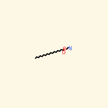 CCCCCCCCCCCCCCCCC(=O)OCCN(C)C